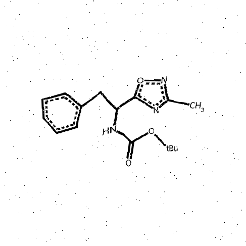 Cc1noc(C(Cc2ccccc2)NC(=O)OC(C)(C)C)n1